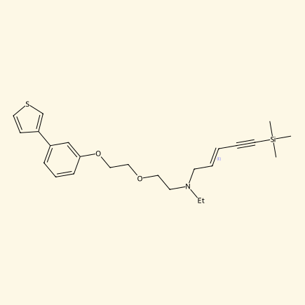 CCN(C/C=C/C#C[Si](C)(C)C)CCOCCOc1cccc(-c2ccsc2)c1